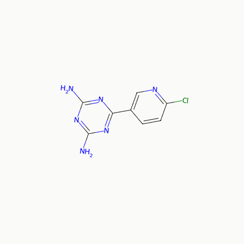 Nc1nc(N)nc(-c2ccc(Cl)nc2)n1